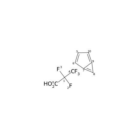 O=C(O)C(F)(F)C(F)(F)F.c1cc2cc-2c1